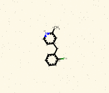 Cc1cc(Cc2ccccc2F)ccn1